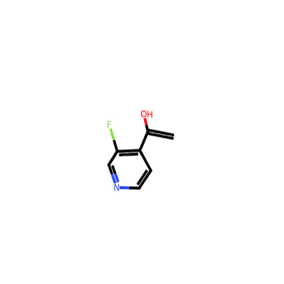 C=C(O)c1ccncc1F